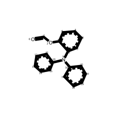 O=[C]Oc1ccccc1N(c1ccccc1)c1ccccc1